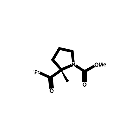 COC(=O)N1CCC[C@@]1(C)C(=O)C(C)C